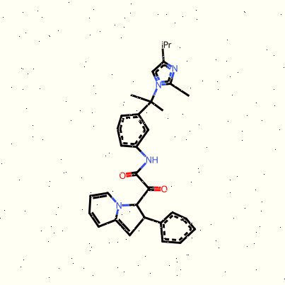 Cc1nc(C(C)C)cn1C(C)(C)c1cccc(NC(=O)C(=O)C2C(c3ccccc3)C=C3C=CC=CN32)c1